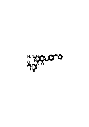 CCCC(CNC(C)=O)Nc1nc(N)nc2ccn(Cc3ccc(CN4CCCC4)cc3)c(=O)c12